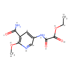 NC(=O)c1cc(NC(=O)C(=O)OCC(F)(F)F)cnc1OC(F)(F)F